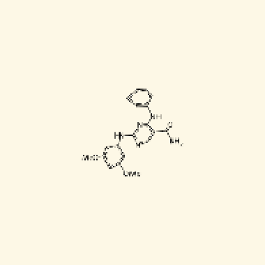 COc1cc(Nc2ncc(C(N)=O)c(Nc3ccccc3)n2)cc(OC)c1